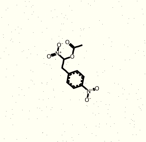 CC(=O)OC(Cc1ccc([N+](=O)[O-])cc1)[N+](=O)[O-]